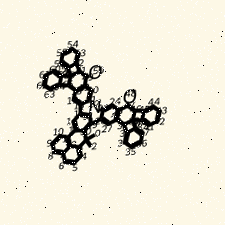 CC1(C)c2cccc3cccc(c23)-c2cc3c4cc5c(cc4n4c6cc7c(cc6c(c21)c34)C1c2ccccc2C12c1ccccc1C2C7=O)C(=O)C1c2ccccc2C12c1ccccc1C52